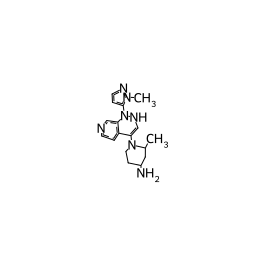 CC1CC(N)CCN1C1=CNN(c2ccnn2C)c2cnccc21